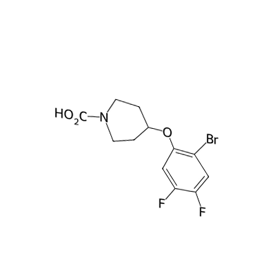 O=C(O)N1CCC(Oc2cc(F)c(F)cc2Br)CC1